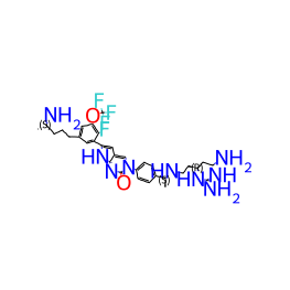 C[C@H](N)CCCc1cc(OC(F)(F)F)c(F)c(-c2cc3cn(-c4ccc([C@H](C)NCC[C@@H](CCN)NC(=N)N)cc4)c(=O)nc3[nH]2)c1